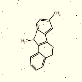 Cc1ccc2c(c1)c1c(n2C)-c2ccccc2CS1